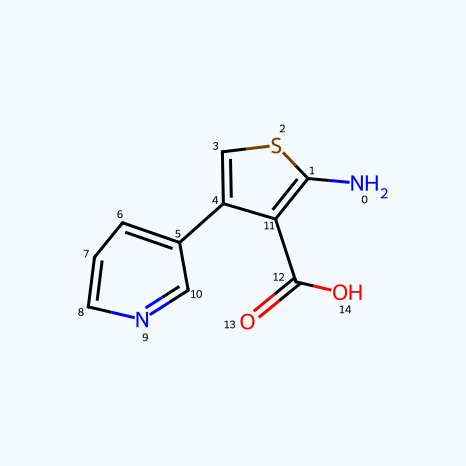 Nc1scc(-c2cccnc2)c1C(=O)O